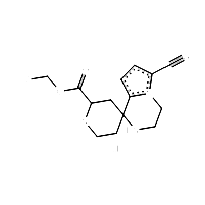 CCOC(=O)C1CC2(CCN1)NCCn1c(C#N)ccc12.Cl